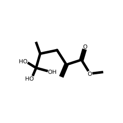 C=C(CC(C)C(O)(O)O)C(=O)OC